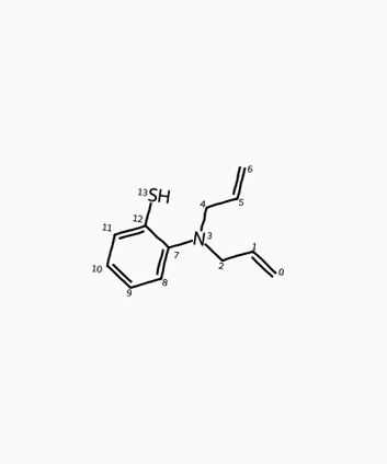 C=CCN(CC=C)c1ccccc1S